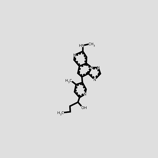 CCCC(O)c1cc(C)c(-c2cc3cnc(NC)cc3n3ncnc23)cn1